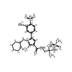 Cc1c(C(=O)NCC(C)(C)NS(C)(=O)=O)cc(-c2ccc([SH](=O)=O)c(C(C)(C)C)c2)n1CC1CCCCC1